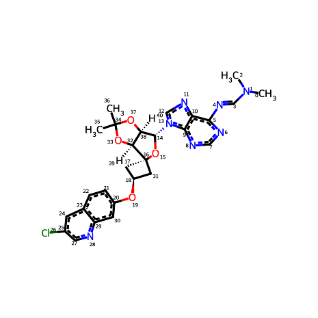 CN(C)/C=N/c1ncnc2c1ncn2[C@@H]1O[C@]2(C[C@H](Oc3ccc4cc(Cl)cnc4c3)C2)[C@H]2OC(C)(C)O[C@@H]12